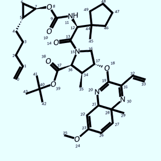 C=CCCC[C@@H]1C[C@H]1OC(=O)N[C@H](C(=O)N1C[C@H](OC2=NC3C=C(OC)C=CC3(C)N=C2C=C)[C@@H](C)[C@H]1C(=O)OC(C)(C)C)C1(C)CCCC1